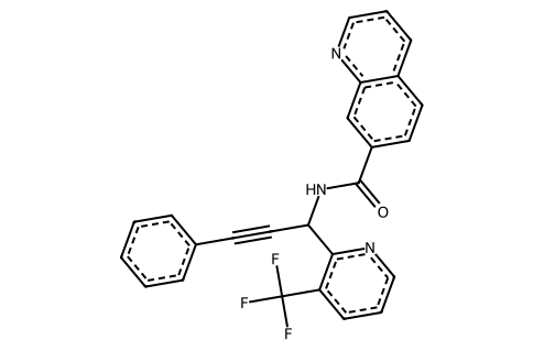 O=C(NC(C#Cc1ccccc1)c1ncccc1C(F)(F)F)c1ccc2cccnc2c1